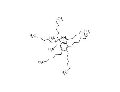 CCCCCCc1c(CCCCCC)c(CCCCCC)c2c(c1CCCCCC)C(N)C(N)(CCCCCC)C2(N)CCCCCC